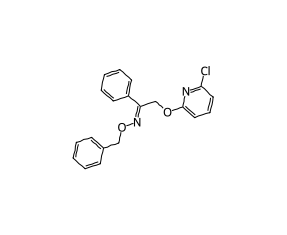 Clc1cccc(OCC(=NOCc2ccccc2)c2ccccc2)n1